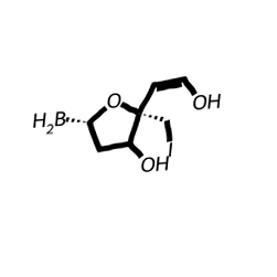 B[C@H]1CC(O)[C@@](/C=C\O)(CI)O1